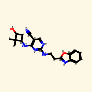 CC1(C)C(O)C[C@H]1Nc1nc(NCCc2nc3ccccc3o2)ncc1C#N